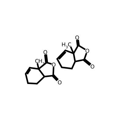 CC12C=CCCC1C(=O)OC2=O.CC12C=CCCC1C(=O)OC2=O